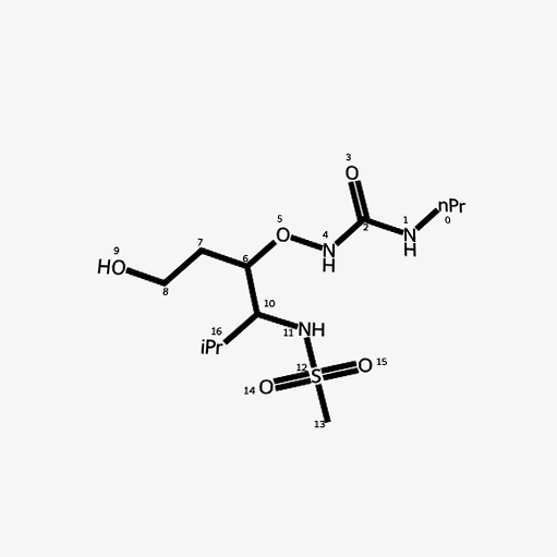 [CH2]CCNC(=O)NOC(CCO)C(NS(C)(=O)=O)C(C)C